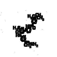 CN(CCN)c1ccc(Nc2cc(N3CCC[C@@H](NC(=O)c4ccc(C(C)(C)C)cc4)C3)nn(C)c2=O)nc1